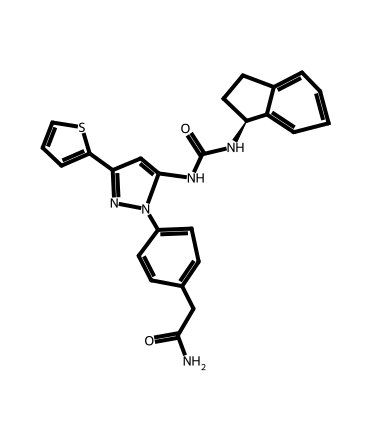 NC(=O)Cc1ccc(-n2nc(-c3cccs3)cc2NC(=O)N[C@H]2CCc3ccccc32)cc1